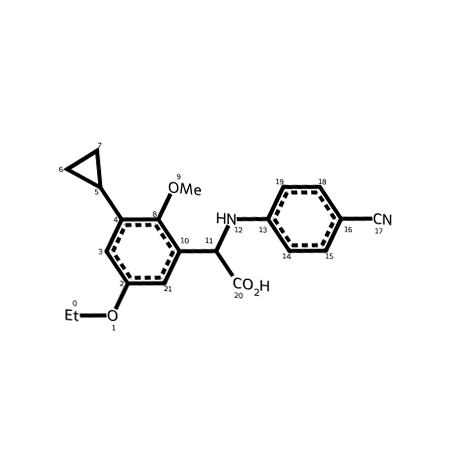 CCOc1cc(C2CC2)c(OC)c(C(Nc2ccc(C#N)cc2)C(=O)O)c1